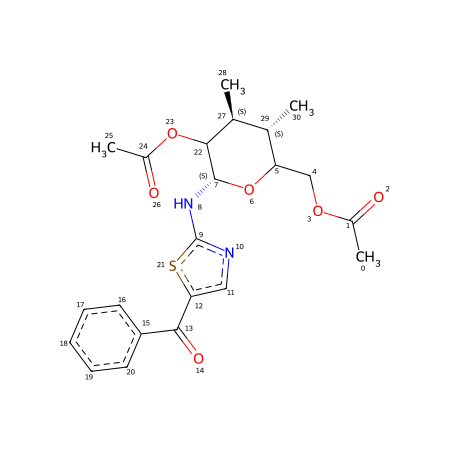 CC(=O)OCC1O[C@H](Nc2ncc(C(=O)c3ccccc3)s2)C(OC(C)=O)[C@@H](C)[C@@H]1C